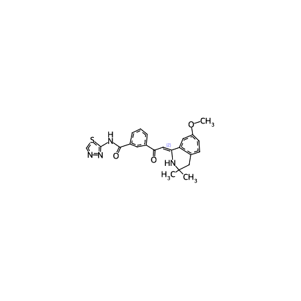 COc1ccc2c(c1)/C(=C/C(=O)c1cccc(C(=O)Nc3nncs3)c1)NC(C)(C)C2